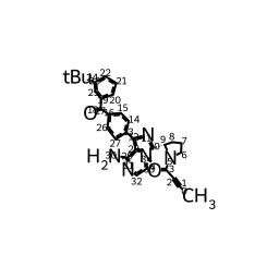 CC#CC(=O)N1CCC[C@H]1c1nc(-c2ccc(C(=O)c3cccc(C(C)(C)C)c3)cc2)c2c(N)nccn12